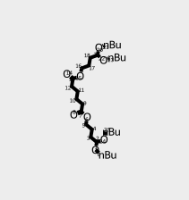 CCCCOC(CCCOC(=O)CCCCC(=O)OCCCC(OCCCC)OCCCC)OCCCC